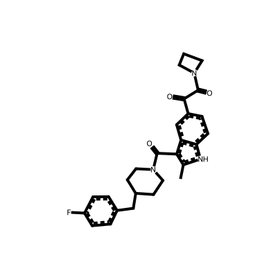 Cc1[nH]c2ccc(C(=O)C(=O)N3CCC3)cc2c1C(=O)N1CCC(Cc2ccc(F)cc2)CC1